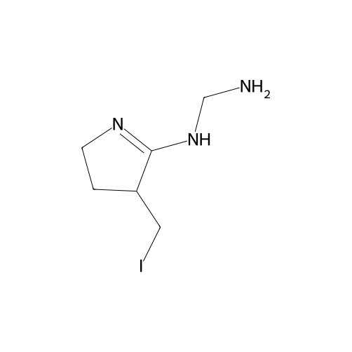 NCNC1=NCCC1CI